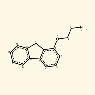 NCCOc1cccc2c1Cc1ccccc1-2